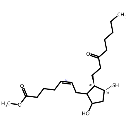 CCCCCC(=O)CC[C@@H]1C(C/C=C\CCCC(=O)OC)C(O)C[C@H]1S